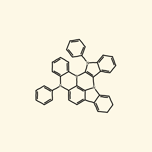 C1=c2c(n3c4c5c(ccc24)N(c2ccccc2)c2ccccc2B5c2c-3c3ccccc3n2-c2ccccc2)=CCC1